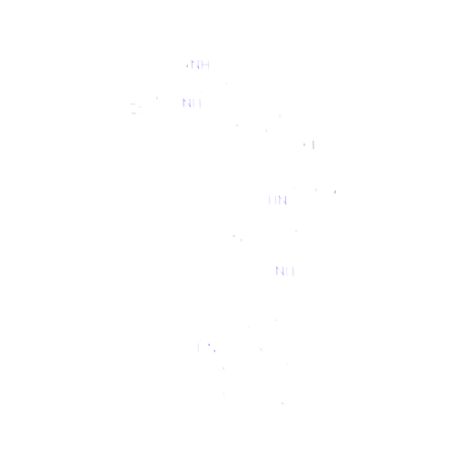 CCONC(=N)c1cccc(CC(C)C(=O)NCC(=O)NCCc2c[nH]c3ccccc23)c1